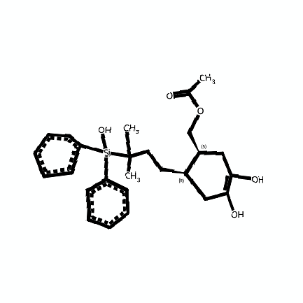 CC(=O)OC[C@H]1CC(O)=C(O)C[C@H]1CCC(C)(C)[Si](O)(c1ccccc1)c1ccccc1